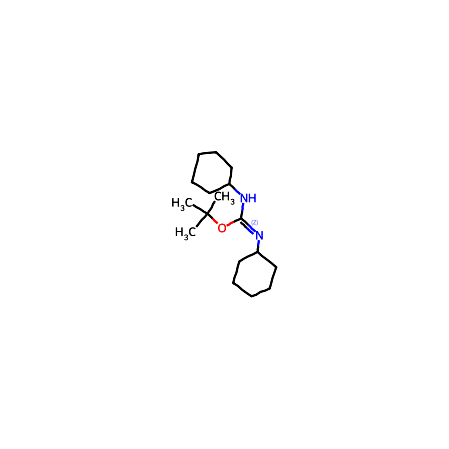 CC(C)(C)O/C(=N\C1CCCCC1)NC1CCCCC1